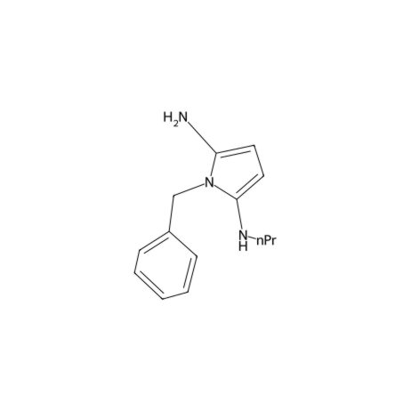 CCCNc1ccc(N)n1Cc1ccccc1